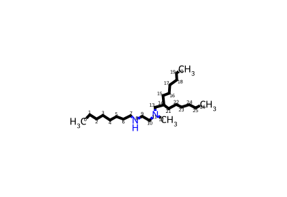 CCCCCCCCNCCN(C)CC(CCCCCC)CCCCCC